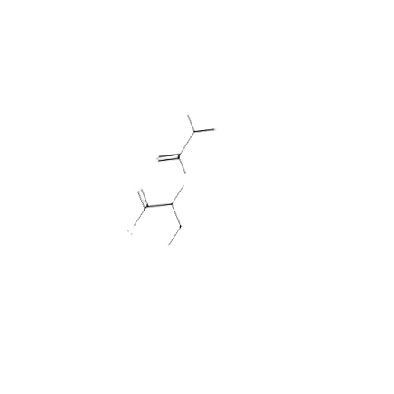 CC(O)C(=O)OC(CO)C(N)=O